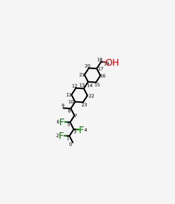 CC(F)C(F)C(F)CC(C)C1CCC(C2CCC(CO)CC2)CC1